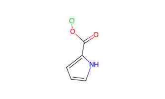 O=C(OCl)c1ccc[nH]1